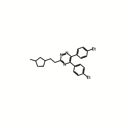 CCc1ccc(-c2nnc(CCC3CCC(C)C3)nc2-c2ccc(CC)cc2)cc1